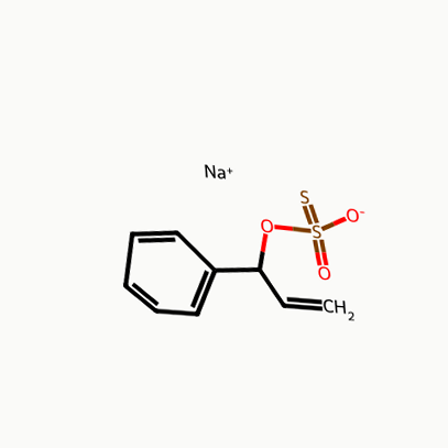 C=CC(OS(=O)([O-])=S)c1ccccc1.[Na+]